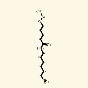 CCCSSCCCCC(=O)NCCCCCCN